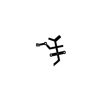 C=C(C)C(C)(COCC)S(=O)(=O)CI